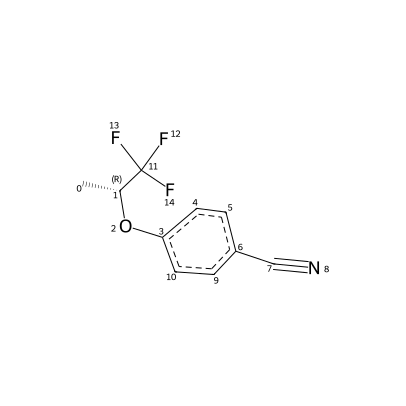 C[C@@H](Oc1ccc(C#N)cc1)C(F)(F)F